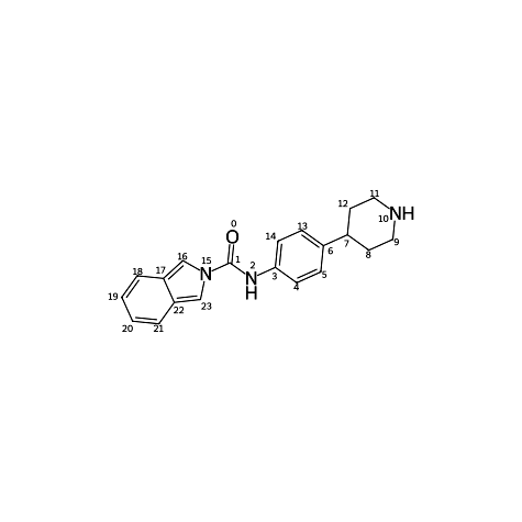 O=C(Nc1ccc(C2CCNCC2)cc1)n1cc2ccccc2c1